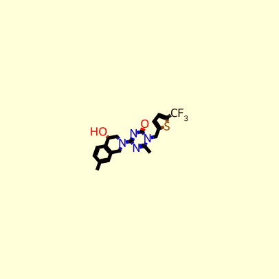 Cc1ccc2c(c1)CN(c1nc(C)n(Cc3ccc(C(F)(F)F)s3)c(=O)n1)CC2O